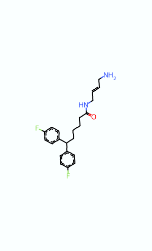 NC/C=C/CNC(=O)CCCCC(c1ccc(F)cc1)c1ccc(F)cc1